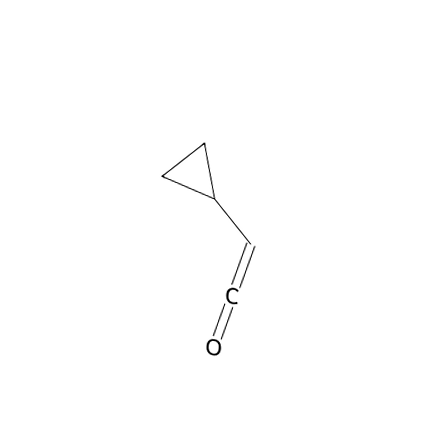 O=C=CC1CC1